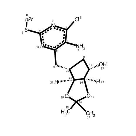 CCCSc1nc(Cl)c(N)c(C[C@@H]2C[C@H](O)[C@H]3OC(C)(C)O[C@@H]23)n1